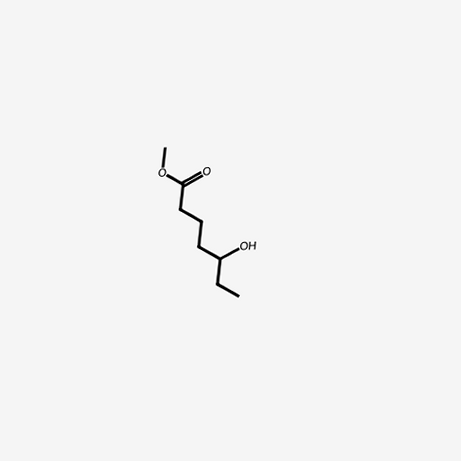 CCC(O)CCCC(=O)OC